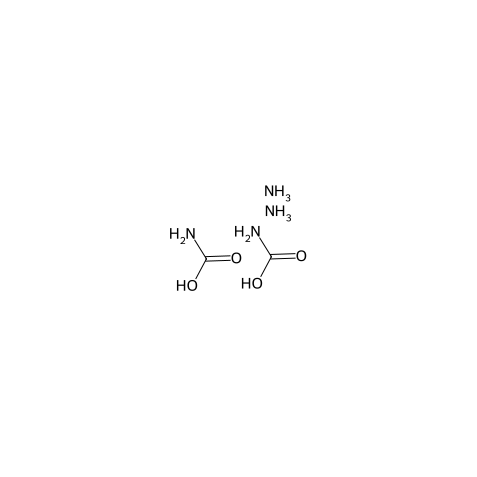 N.N.NC(=O)O.NC(=O)O